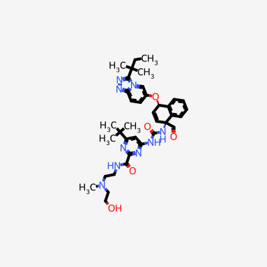 CCC(C)(C)c1nnc2ccc(O[C@@H]3C=C[C@](C=O)(NC(=O)Nc4cc(C(C)(C)C)nc(C(=O)NCCN(C)CCO)n4)c4ccccc43)cn12